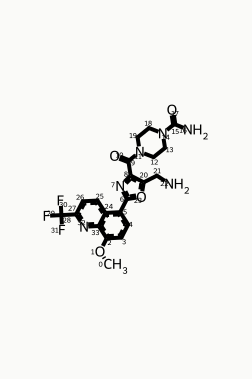 COc1ccc(-c2nc(C(=O)N3CCN(C(N)=O)CC3)c(CN)o2)c2ccc(C(F)(F)F)nc12